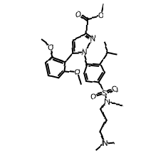 COC(=O)c1cc(-c2c(OC)cccc2OC)n(-c2ccc(S(=O)(=O)N(C)CCCN(C)C)cc2C(C)C)n1